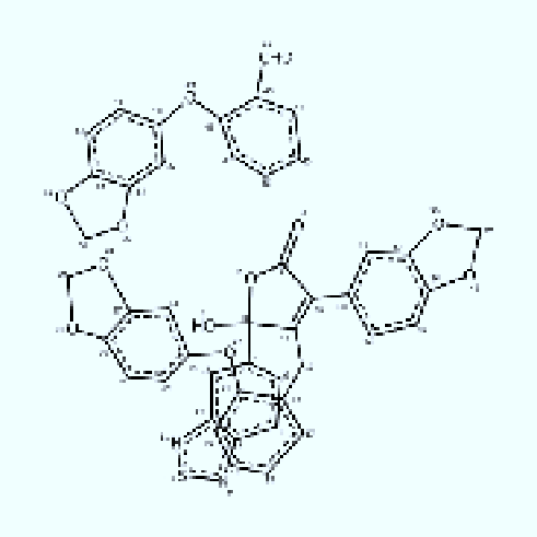 O=C1OC(O)(c2ccc3nsnc3c2)C(Cc2ccccc2Oc2ccc3c(c2)OCO3)=C1c1ccc2c(c1)OCO2.O=Cc1ccccc1Oc1ccc2c(c1)OCO2